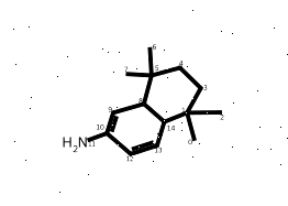 CC1(C)CCC(C)(C)C2C=C(N)C=CC21